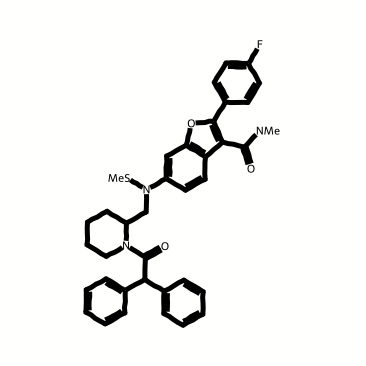 CNC(=O)c1c(-c2ccc(F)cc2)oc2cc(N(CC3CCCCN3C(=O)C(c3ccccc3)c3ccccc3)SC)ccc12